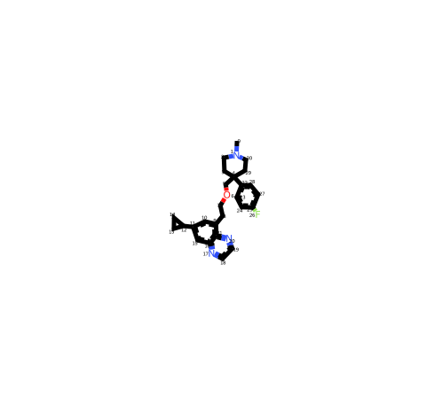 CN1CCC(COCCc2cc(C3CC3)cc3nccnc23)(c2ccc(F)cc2)CC1